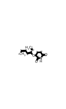 C=N/C(=C\C=C/C)OC1CCC(=O)NC1=O